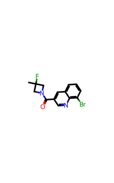 CC1(F)CN(C(=O)c2cnc3c(Br)cccc3c2)C1